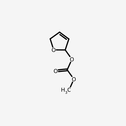 COC(=O)OC1C=CCO1